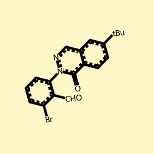 CC(C)(C)c1ccc2c(=O)n(-c3cccc(Br)c3C=O)ncc2c1